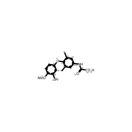 COc1ccc(Oc2c(C)cc(NC(=O)C(=O)O)cc2C)cc1C(C)C